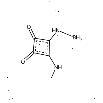 BNc1c(NC)c(=O)c1=O